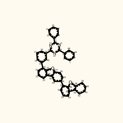 c1ccc(-c2nc(-c3ccccc3)nc(-c3cccc(-c4cccc5c4oc4ccc(-c6cccc7c6oc6ccccc67)cc45)c3)n2)cc1